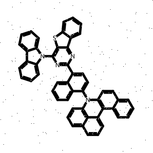 c1ccc2c3c(ccc2c1)N(c1ccc(-c2nc(-n4c5ccccc5c5ccccc54)c4sc5ccccc5c4n2)c2ccccc12)c1cccc2cccc-3c12